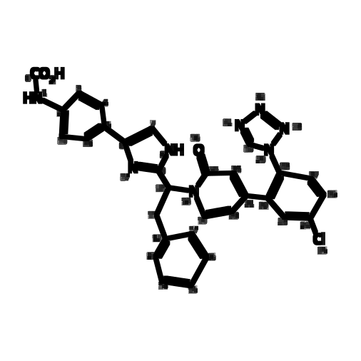 O=C(O)Nc1ccc(-c2c[nH]c(C(Cc3ccccc3)n3ccc(-c4cc(Cl)ccc4-n4cnnn4)cc3=O)n2)cc1